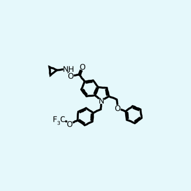 O=C(ONC1CC1)c1ccc2c(c1)cc(COc1ccccc1)n2Cc1ccc(OC(F)(F)F)cc1